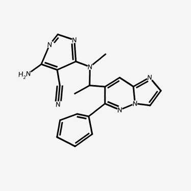 CC(c1cc2nccn2nc1-c1ccccc1)N(C)c1ncnc(N)c1C#N